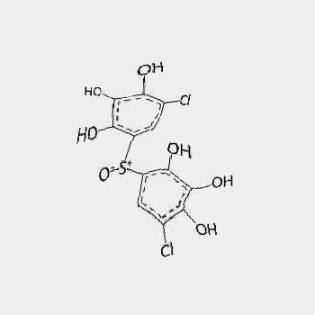 [O-][S+](c1cc(Cl)c(O)c(O)c1O)c1cc(Cl)c(O)c(O)c1O